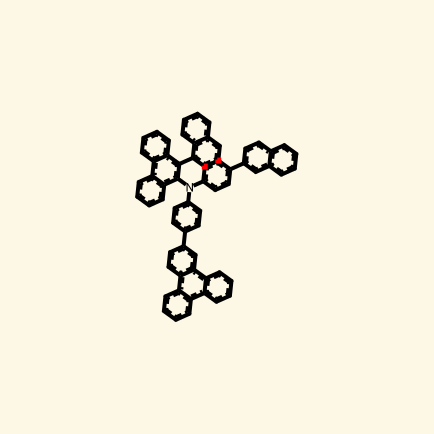 c1ccc2cc(-c3ccc(N(c4ccc(-c5ccc6c7ccccc7c7ccccc7c6c5)cc4)c4c(-c5cccc6ccccc56)c5ccccc5c5ccccc45)cc3)ccc2c1